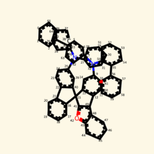 c1ccc(-c2ccc(N(c3ccc4c(c3)C3(c5ccccc5-c5ccc(N(c6ccccc6)c6ccccc6)cc53)c3oc5ccccc5c3-4)c3ccccc3-c3ccccc3)cc2)cc1